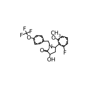 COc1cccc(F)c1C1CC(O)C(=O)N1Cc1ccc(OC(F)(F)F)cc1